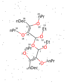 CCCCCCCCCCC(OCCC)=C(OCCC)C(OCC)OC(OCC)C(OCCC)=C(CCCCCCCCCC)OCCC